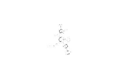 OCCOc1cc(Nc2cc(C3CC3)[nH]n2)nc(N2CCC[C@H]2c2cc(-c3nccs3)no2)n1